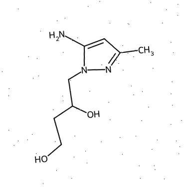 Cc1cc(N)n(CC(O)CCO)n1